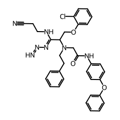 N#CCCN/C(=N\N=N)C(COc1ccccc1Cl)N(CCc1ccccc1)CC(=O)Nc1ccc(Oc2ccccc2)cc1